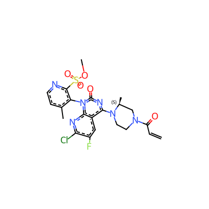 C=CC(=O)N1CCN(c2nc(=O)n(-c3c(C)ccnc3S(=O)(=O)OC)c3nc(Cl)c(F)cc23)[C@@H](C)C1